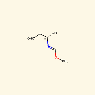 BOC=N[C@H](CC=O)C(C)C